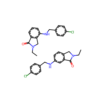 CCN1Cc2c(NCc3ccc(Cl)cc3)cccc2C1=O.CCN1Cc2ccc(NCc3ccc(Cl)cc3)cc2C1=O